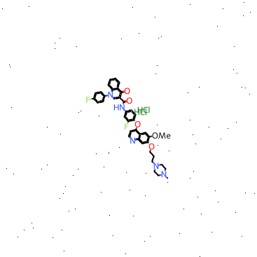 COc1cc2c(Oc3ccc(NC(=O)c4cn(-c5ccc(F)cc5)c5ccccc5c4=O)cc3F)ccnc2cc1OCCCN1CCN(C)CC1.Cl.Cl